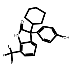 O=C1Nc2c(C(F)(F)F)cccc2C1(c1ccc(O)cc1)C1CCCCC1